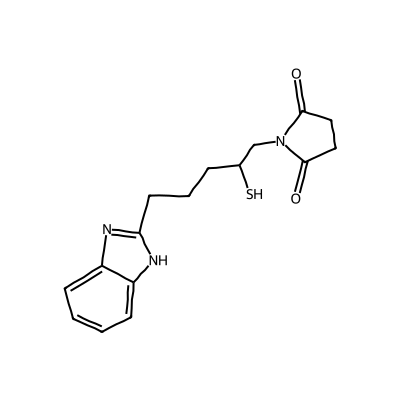 O=C1CCC(=O)N1CC(S)CCCc1nc2ccccc2[nH]1